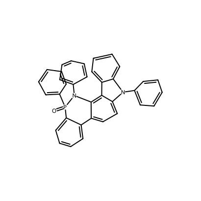 O=P1(c2ccccc2)c2ccccc2-c2ccc3c(c2N1c1ccccc1)c1ccccc1n3-c1ccccc1